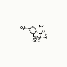 COc1cc([N+](=O)[O-])ccc1-c1ocnc1C(=O)[O-].[Na+]